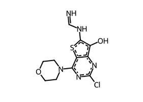 N=CNc1sc2c(N3CCOCC3)nc(Cl)nc2c1O